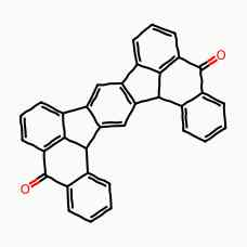 O=C1c2ccccc2C2c3cc4c(cc3-c3cccc1c32)-c1cccc2c1C4c1ccccc1C2=O